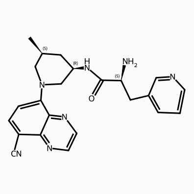 C[C@H]1C[C@@H](NC(=O)[C@@H](N)Cc2cccnc2)CN(c2ccc(C#N)c3nccnc23)C1